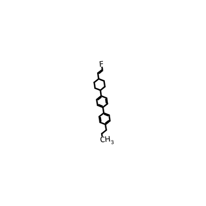 CCCc1ccc(-c2ccc(C3CCC(C=CF)CC3)cc2)cc1